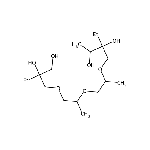 CCC(O)(CO)COCC(C)OCC(C)OCC(O)(CC)C(C)O